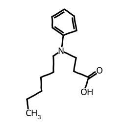 CCCCCCN(CCC(=O)O)c1ccccc1